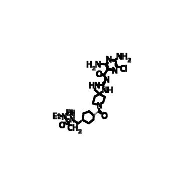 C=S(=O)(NC[C@H]1CC[C@H](C(=O)N2CCC3(CC2)CN/C(=N\C(=O)c2nc(Cl)c(N)nc2N)N3)CC1)N(CC)CC